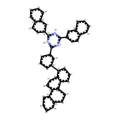 c1cc(-c2nc(-c3ccc4ccccc4c3)nc(-c3ccc4ccccc4c3)n2)cc(-c2cccc3c2ccc2c4ccccc4ccc32)c1